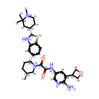 C[C@H]1CC[C@H](c2ccc3c(c2)NC([C@H]2CCN(C)C(C)(C)C2)S3)N(C(=O)C(=O)Nc2cnc(N)c(C3COC3)c2)C1